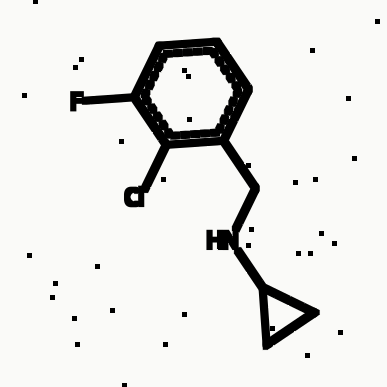 Fc1cccc(CNC2CC2)c1Cl